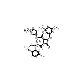 CCC(NC(=O)N1C(=O)[C@H](Cc2cc(C)nc(N)c2)[C@H]1C(=O)N(C)c1ccn(C)n1)c1cc(F)ccc1F